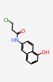 O=C(CCCl)Nc1ccc2c(O)cccc2c1